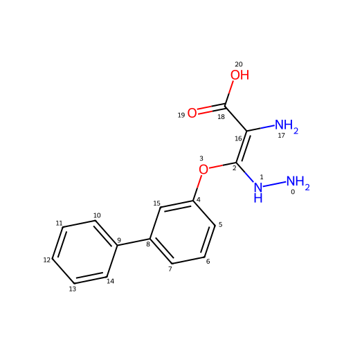 NN/C(Oc1cccc(-c2ccccc2)c1)=C(\N)C(=O)O